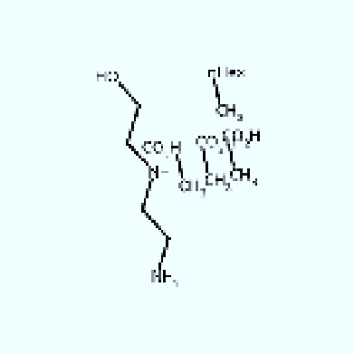 CC(=O)O.CC(=O)O.CC(=O)O.CCCCCCC.NCCNCCO